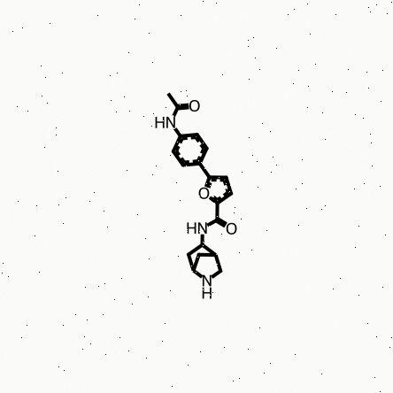 CC(=O)Nc1ccc(-c2ccc(C(=O)NC3CC4CC3CN4)o2)cc1